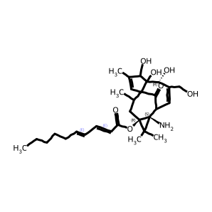 CCCCC/C=C/C=C/C(=O)O[C@@]12CC(C)C34C=C(C)C(O)C3(O)[C@H](O)C(CO)=CC(C4=O)[C@]1(N)C2(C)C